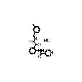 Cc1cccc(/C=N/NC(=O)c2ccccc2NC(=O)c2ccncc2)c1.Cl